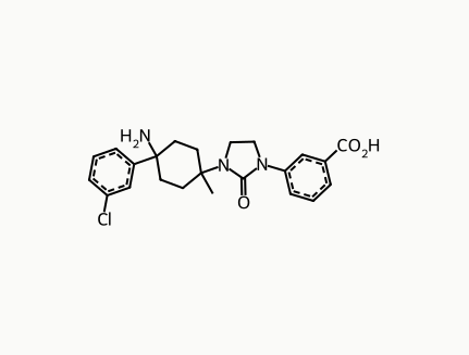 CC1(N2CCN(c3cccc(C(=O)O)c3)C2=O)CCC(N)(c2cccc(Cl)c2)CC1